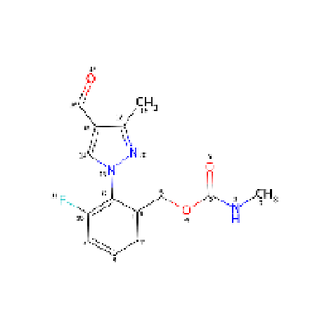 CNC(=O)OCc1cccc(F)c1-n1cc(C=O)c(C)n1